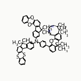 C=C1/C=C\C=C/Cc2c(ccc3c2Oc2c(-c4ccc(N(c5ccc6c(c5)C(C)(C)c5ccc7c(c5-6)Oc5ccccc5O7)c5ccc6c(c5)C(C)(C)c5ccc7c(c5-6)Sc5ccccc5S7)cc4)cccc2[Si]3(C)C)C1(C)C